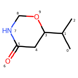 CC(C)C1CC(=O)NCO1